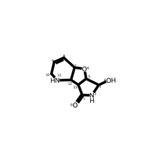 O=C1NC(O)C2OC3C=CCNC3C12